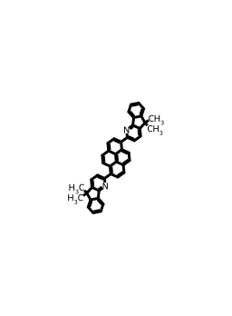 CC1(C)c2ccccc2-c2nc(-c3ccc4ccc5c(-c6ccc7c(n6)-c6ccccc6C7(C)C)ccc6ccc3c4c65)ccc21